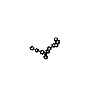 c1ccc(-c2ccc(-c3ccc(N(c4ccccc4)c4ccc5cc(-c6ccc7c(ccc8ccc9ccccc9c87)c6)ccc5c4)cc3)cc2)cc1